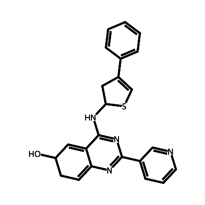 OC1C=c2c(NC3CC(c4ccccc4)=CS3)nc(-c3cccnc3)nc2=CC1